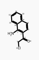 Nc1c(C(=O)CCl)ccc2ccccc12